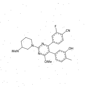 CNC1CCCN(c2nc(OC)c(-c3ccc(C)c(O)c3)c(-c3ccc(C#N)c(F)c3)n2)C1